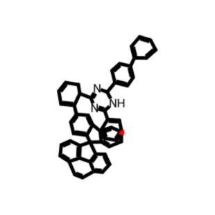 C1=CCC(C2=NC(c3ccc(-c4ccccc4)cc3)NC(c3ccccc3)=N2)C(c2ccc3c(c2)-c2ccccc2C32c3cccc4ccc5cccc2c5c34)=C1